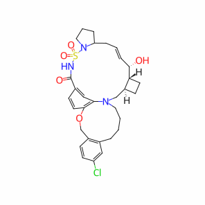 O=C1NS(=O)(=O)N2CCCC2C/C=C/[C@H](O)[C@@H]2CC[C@H]2CN2CCCCc3cc(Cl)ccc3COc3ccc1cc32